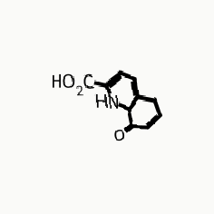 O=C(O)C1=CC=C2CC=CC(=O)C2N1